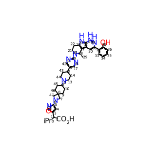 CC(C)C(C(=O)O)c1cc(N2CC3(CCC(N4CCC(c5cnc(N6CCc7[nH]c8c(c7[C@H]6C)C=C(c6ccccc6O)NN8)nc5)CC4)CC3)C2)no1